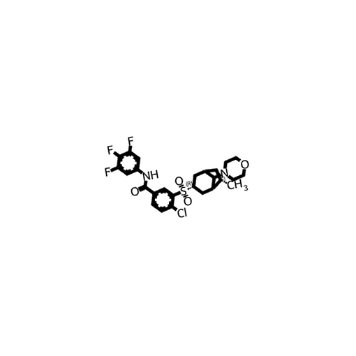 C[C@H]1CC2C[C@@H](S(=O)(=O)c3cc(C(=O)Nc4cc(F)c(F)c(F)c4)ccc3Cl)CC1C2N1CCOCC1